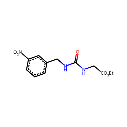 CCOC(=O)CNC(=O)NCc1cccc([N+](=O)[O-])c1